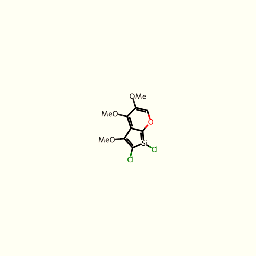 COc1coc2[si](Cl)c(Cl)c(OC)c-2c1OC